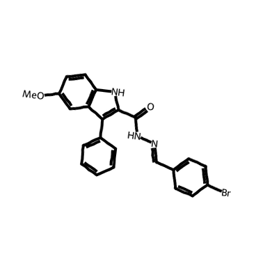 COc1ccc2[nH]c(C(=O)NN=Cc3ccc(Br)cc3)c(-c3ccccc3)c2c1